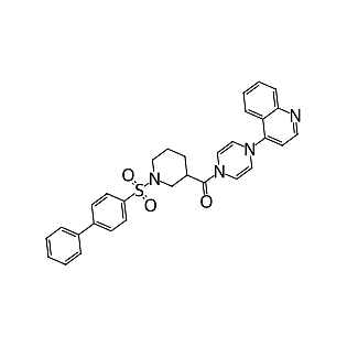 O=C(C1CCCN(S(=O)(=O)c2ccc(-c3ccccc3)cc2)C1)N1C=CN(c2ccnc3ccccc23)C=C1